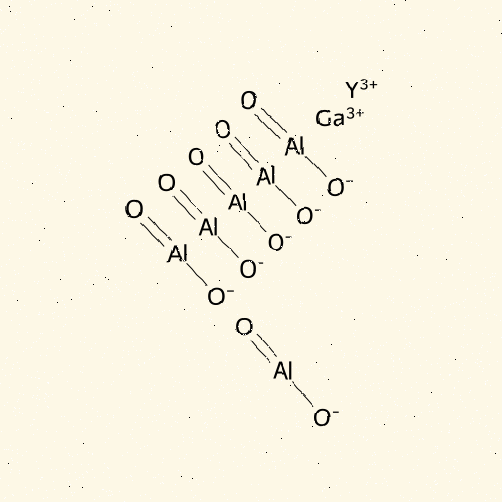 [Ga+3].[O]=[Al][O-].[O]=[Al][O-].[O]=[Al][O-].[O]=[Al][O-].[O]=[Al][O-].[O]=[Al][O-].[Y+3]